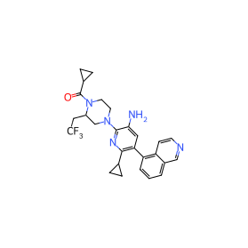 Nc1cc(-c2cccc3cnccc23)c(C2CC2)nc1N1CCN(C(=O)C2CC2)C(CC(F)(F)F)C1